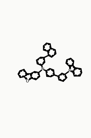 c1cc(-c2cccc3ccccc23)cc(N(c2ccc(-c3cccc(-n4c5ccccc5c5ccccc54)c3)cc2)c2ccc3oc4ccccc4c3c2)c1